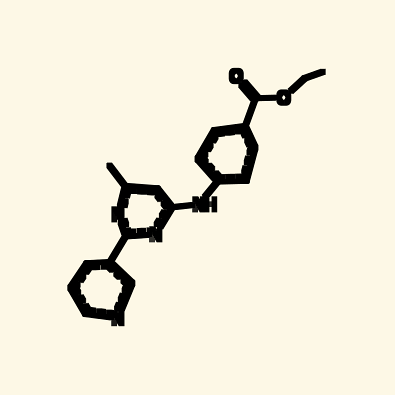 CCOC(=O)c1ccc(Nc2cc(C)nc(-c3cccnc3)n2)cc1